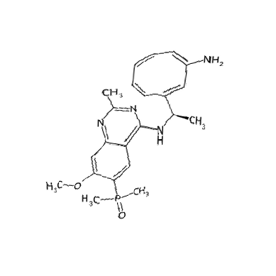 COc1cc2nc(C)nc(N[C@H](C)C3=C/C(N)=C\C=C/C=C\3)c2cc1P(C)(C)=O